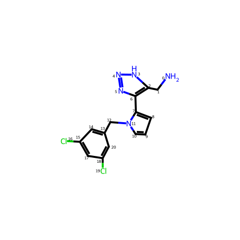 NCc1[nH]nnc1-c1cccn1Cc1cc(Cl)cc(Cl)c1